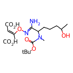 CC(O)CCCC(C(N)=NO/C(=C\C(=O)O)C(=O)O)N(C)C(=O)OC(C)(C)C